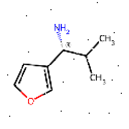 CC(C)[C@@H](N)c1ccoc1